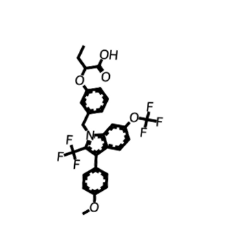 CCC(Oc1cccc(Cn2c(C(F)(F)F)c(-c3ccc(OC)cc3)c3ccc(OC(F)(F)F)cc32)c1)C(=O)O